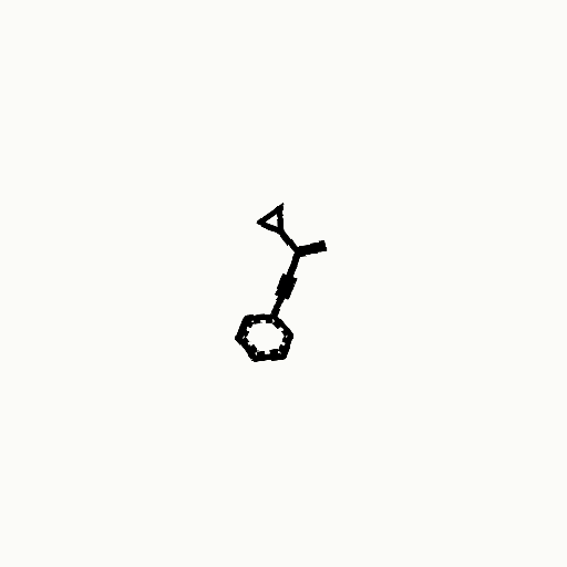 C=C(C#Cc1ccccc1)C1CC1